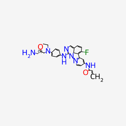 C=CC(=O)Nc1ccnc(-c2c(F)ccc3cnc(Nc4ccc(N5CCO[C@@H](CN)C5)cc4)nc23)c1